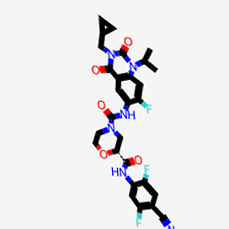 CC(C)n1c(=O)n(CC2CC2)c(=O)c2cc(NC(=O)N3CCO[C@@H](C(=O)Nc4cc(F)c(C#N)cc4F)C3)c(F)cc21